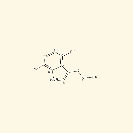 Cc1ccc(F)c2c([CH]CF)c[nH]c12